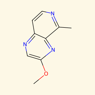 COc1cnc2ccnc(C)c2n1